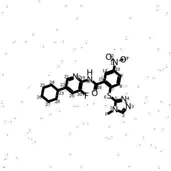 Cn1cnnc1Sc1ccc([N+](=O)[O-])cc1C(=O)Nc1ncc(C2CCCCC2)cc1F